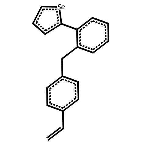 C=Cc1ccc(Cc2ccccc2-c2ccc[se]2)cc1